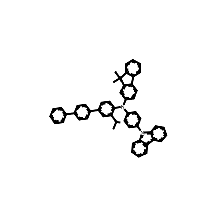 CC(C)c1cc(-c2ccc(-c3ccccc3)cc2)ccc1N(c1ccc(-n2c3ccccc3c3ccccc32)cc1)c1ccc2c(c1)C(C)(C)c1ccccc1-2